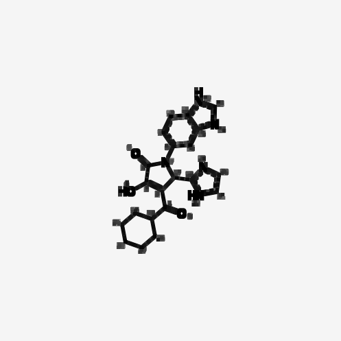 O=C(C1=C(O)C(=O)N(c2ccc3[nH]cnc3c2)C1c1ncc[nH]1)C1CCCCC1